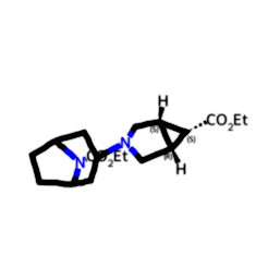 CCOC(=O)[C@@H]1[C@@H]2CN(C3CC4CCC(C3)N4C(=O)OCC)C[C@@H]21